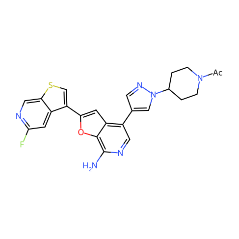 CC(=O)N1CCC(n2cc(-c3cnc(N)c4oc(-c5csc6cnc(F)cc56)cc34)cn2)CC1